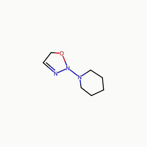 C1=NN(N2CCCCC2)OC1